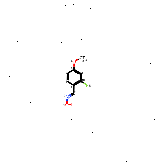 O/N=C/c1ccc(OC(F)(F)F)cc1F